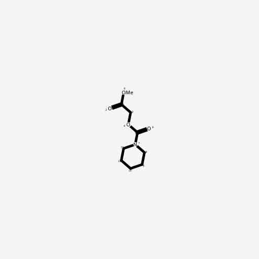 COC(=O)COC(=O)N1CCCCC1